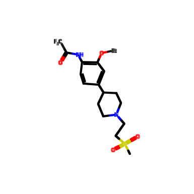 CCOc1cc(C2CCN(CCS(C)(=O)=O)CC2)ccc1NC(=O)C(F)(F)F